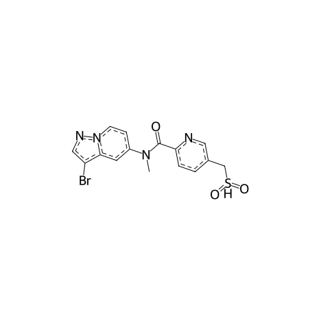 CN(C(=O)c1ccc(C[SH](=O)=O)cn1)c1ccn2ncc(Br)c2c1